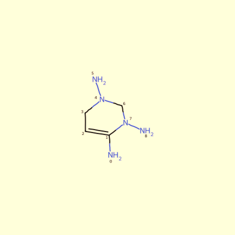 NC1=CCN(N)CN1N